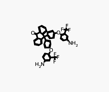 Nc1ccc(Oc2ccc(C3(c4ccc(Oc5ccc(N)cc5C(F)(F)F)cc4)c4ccccc4C(=O)c4ccccc43)cc2)c(C(F)(F)F)c1